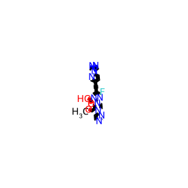 COCC1CN([C@H]2N=C(F)C(C#Cc3ccc(-n4cnnc4)nc3)=CN2C(=O)O)CCN1c1ccncn1